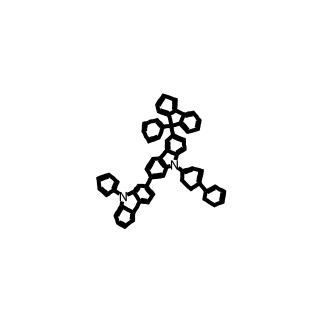 C1=CCCC(C2=CC=C(n3c4ccc(C5(c6ccccc6)c6ccccc6-c6ccccc65)cc4c4ccc(-c5ccc6c7ccccc7n(-c7ccccc7)c6c5)cc43)CC2)=C1